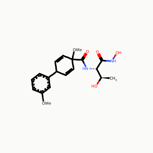 COc1cccc(C2C=CC(OC)(C(=O)N[C@H](C(=O)NO)[C@@H](C)O)C=C2)c1